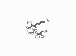 CCCCCC(OP(=O)(O)O)C(O)CO.OCC(O)CO